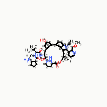 CCn1c(-c2cccnc2[C@H](C)OC)c2c3cc(ccc31)-c1cc(O)cc(c1)C[C@H](NC(=O)[C@H](C(C)C)N(C)C(=O)[C@H]1CCC[C@H]1N)C(=O)N1CCC[C@H](N1)C(=O)OCC(C)(C)C2